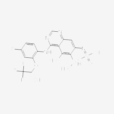 COc1c(N=S(C)(C)=O)cc2ncnc(Nc3ccc(F)cc3O[C@H](C)C(F)(F)F)c2c1C